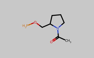 CC(=O)N1CCCC1COP